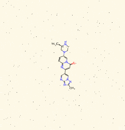 Cc1nc2ncc(-c3cc(=O)n4cc(N5CCN[C@H](C)C5)ccc4n3)cn2n1